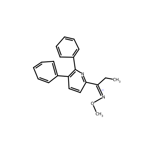 CC/C(=N/OC)c1ccc(-c2ccccc2)c(-c2ccccc2)n1